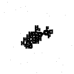 Cc1cc(-c2cc(F)c(Cl)c(F)c2)ccc1[C@@H](O)C(O)C(O)C(O)C(O)C(C)CO